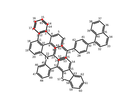 c1ccc(-c2ccccc2-c2c(-c3ccccc3)cccc2N(c2ccc(-c3ccc(-c4cccc5ccccc45)cc3)cc2)c2ccccc2-c2cccc3c2sc2ccccc23)cc1